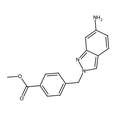 COC(=O)c1ccc(Cn2cc3ccc(N)cc3n2)cc1